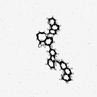 C=C1/C=C\C=C/N(c2ccc3ccc4cccnc4c3c2)c2ccc(-c3ccc4c(c3)c3c(n4-c4ccc5ccc6cccnc6c5c4)CCC=C3)cc21